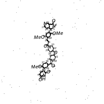 COc1cc(-c2cn(C)c(=O)c3cnccc23)c(OC)cc1C=CC(=O)N1CCC(OC2CCN(C(=O)c3ccc(OC)c(-n4ccc(=O)[nH]c4=O)c3)CC2)CC1